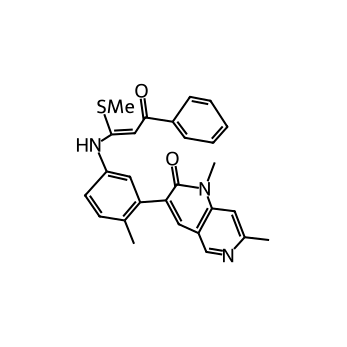 CSC(=CC(=O)c1ccccc1)Nc1ccc(C)c(-c2cc3cnc(C)cc3n(C)c2=O)c1